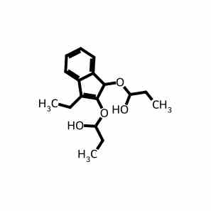 CCC1=C(OC(O)CC)C(OC(O)CC)c2ccccc21